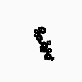 Cc1c(CN2CCN(C(=O)C3CCCCO3)C(C)C2)cc(Cl)cc1NC(=O)c1cncc(F)c1